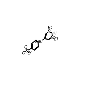 CCCCC1=CN(CC)N[N+](CC)=C1.O=S(=O)([O-])c1ccccc1